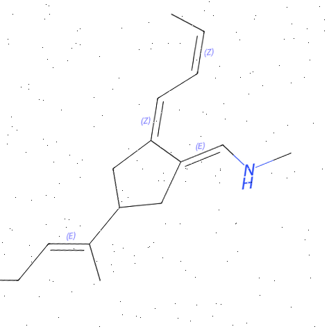 C\C=C/C=C1/CC(/C(C)=C/CC)C/C1=C\NC